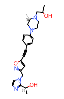 CC(O)CN1CCN(c2ccc(C#Cc3cc(Cn4ccnc4[C@H](C)O)no3)cc2)C[C@@H]1C